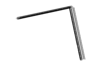 [Cr+3].[Cr+3].[Cr+3].[Cr+3].[Cr+3].[Cr+3].[Cr+3].[Cr+3].[Cr+3].[Cr+3].[Cr+3].[Cr+3].[Cr+3].[Cr+3].[Cr+3].[Cr+3].[Cr+3].[Cr+3].[Cr+3].[Cr+3].[Cr+3].[Cr+3].[Cr+3].[Cr+3].[Cr+3].[Cr+3].[Cr+3].[Cr+3].[Cr+3].[Cr+3].[Cr+3].[Cr+3].[Cr+3].[Cr+3].[Cr+3].[Cr+3].[Cr+3].[Cr+3].[Cr+3].[Cr+3].[Cr+3].[Cr+3].[Cr+3].[Cr+3].[Cr+3].[Cr+3].[Cr+3].[Cr+3].[Cr+3].[Cr+3].[Cr+3].[Cr+3].[Cr+3].[Cr+3].[Cr+3].[Cr+3].[Cr+3].[Cr+3].[Cr+3].[Cr+3].[Cr+3].[Cr+3].[Cr+3].[Cr+3].[Cr+3].[Cr+3].[Cr+3].[Cr+3].[Cr+3].[Cr+3].[Cr+3].[Cr+3].[Cr+3].[Cr+3].[Cr+3].[Cr+3].[Cr+3].[Cr+3].[Cr+3].[Cr+3].[Cr+3].[Cr+3].[Cr+3].[Cr+3].[Cr+3].[Cr+3].[Cr+3].[Cr+3].[Cr+3].[Cr+3].[Cr+3].[Cr+3].[Cr+3].[Cr+3].[Cr+3].[Cr+3].[Cr+3].[Cr+3].[Cr+3].[O-2].[O-2]